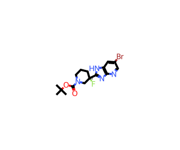 CC(C)(C)OC(=O)N1CCC[C@](F)(c2nc3ncc(Br)cc3[nH]2)C1